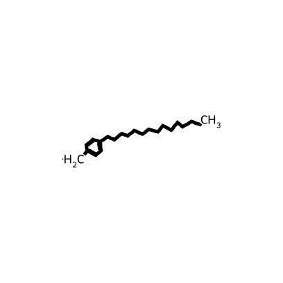 [CH2]c1ccc(CCCCCCCCCCCCCCC)cc1